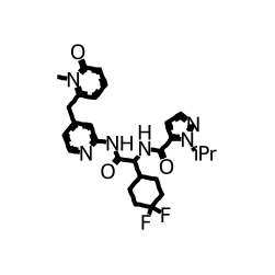 CC(C)n1nccc1C(=O)NC(C(=O)Nc1cc(Cc2cccc(=O)n2C)ccn1)C1CCC(F)(F)CC1